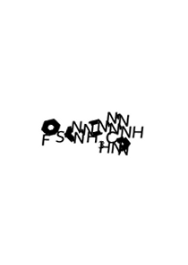 Cc1[nH]ncc1Nc1ncnc(N2CCN(c3ncc(Sc4ccccc4F)cn3)CC2)n1